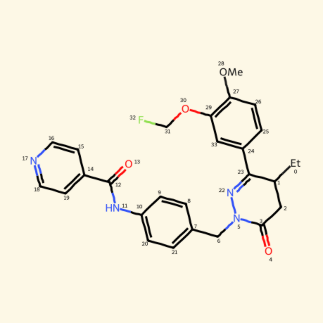 CCC1CC(=O)N(Cc2ccc(NC(=O)c3ccncc3)cc2)N=C1c1ccc(OC)c(OCF)c1